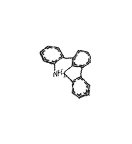 Nc1ccccc1-c1cccc2c1Cc1ccccc1-2